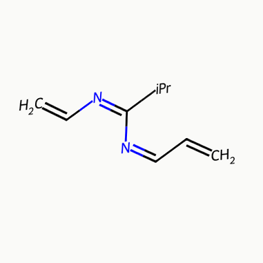 C=C/C=N\C(=N/C=C)C(C)C